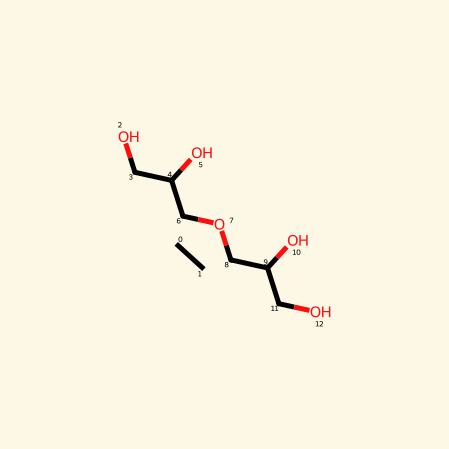 CC.OCC(O)COCC(O)CO